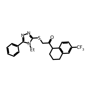 CCn1c(SCC(=O)C2CCCc3cc(C(F)(F)F)ccc32)nnc1-c1ccccc1